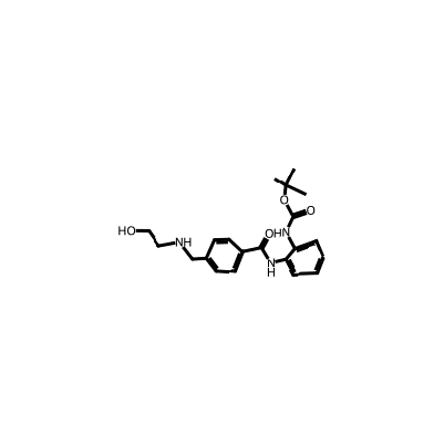 CC(C)(C)OC(=O)Nc1ccccc1NC(=O)c1ccc(CNCCO)cc1